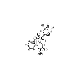 CC(C)OC(=O)[C@@H](C)NP(=O)(Oc1ccccc1)O[C@@H]1C[C@@](C)(F)[C@H](C)O1